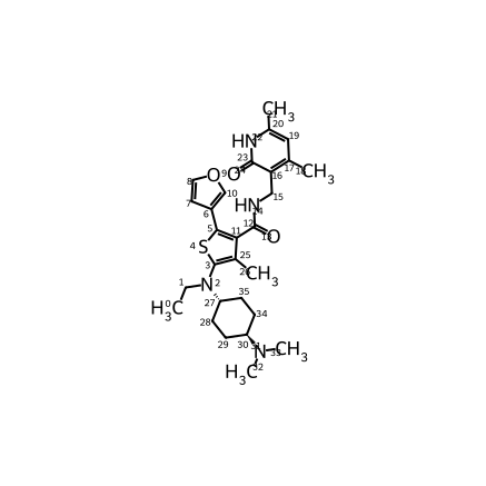 CCN(c1sc(-c2ccoc2)c(C(=O)NCc2c(C)cc(C)[nH]c2=O)c1C)[C@H]1CC[C@H](N(C)C)CC1